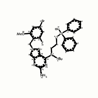 CCCCN(CCO[Si](c1ccccc1)(c1ccccc1)C(C)(C)C)c1nc(N)nc2cn(Cc3c(F)cc(Br)cc3OC)nc12